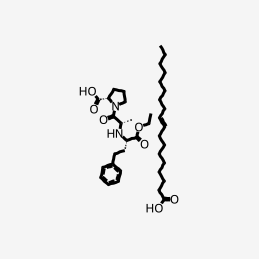 CCCCCCCCC=CCCCCCCCC(=O)O.CCOC(=O)[C@H](CCc1ccccc1)N[C@@H](C)C(=O)N1CCC[C@H]1C(=O)O